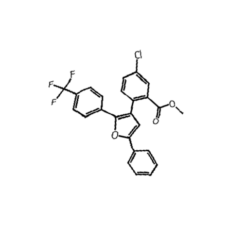 COC(=O)c1cc(Cl)ccc1-c1cc(-c2ccccc2)oc1-c1ccc(C(F)(F)F)cc1